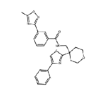 Cc1nc(-c2cccc(C(=O)NCC3(c4nc(-c5ccccn5)cs4)CCOCC3)c2)no1